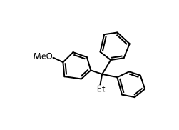 CCC(c1ccccc1)(c1ccccc1)c1ccc(OC)cc1